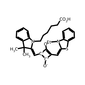 CCN1C(=Cc2c([O-])[c+](C=C3N(CCCCCC(=O)O)c4ccccc4C3(C)C)[c+]2[O-])Sc2ccccc21